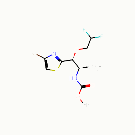 CCOC(=O)[C@@H](NC(=O)OC(C)(C)C)[C@H](OCC(F)F)c1nc(Br)cs1